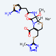 CO[C@@]1(NC(=O)Cc2csc(N)n2)C(=O)N2C(C(=O)[O-])=C(CSc3nnnn3C)CS[C@H]21.[Na+]